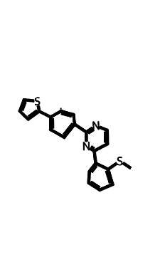 CSc1ccccc1-c1ccnc(-c2c[c]c(-c3cccs3)cc2)n1